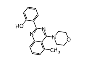 Cc1cccc2nc(-c3ccccc3O)nc(N3CCOCC3)c12